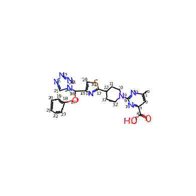 Cc1cc(C(=O)O)nc(N2CCC(c3nc(C(Oc4ccccc4)n4cnnn4)cs3)CC2)n1